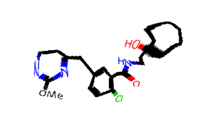 COc1nccc(Cc2ccc(Cl)c(C(=O)NCC3(O)CCCCC3)c2)n1